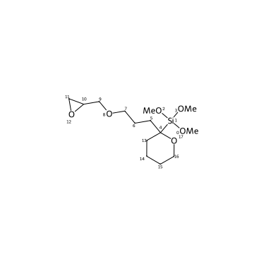 CO[Si](OC)(OC)C1(CCCOCC2CO2)CCCCO1